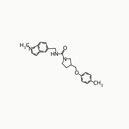 Cc1ccc(OCC2CCN(C(=O)NCc3ccc4c(ccn4C)c3)C2)cc1